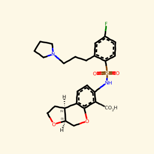 O=C(O)c1c(NS(=O)(=O)c2ccc(F)cc2CCCN2CCCC2)ccc2c1OC[C@H]1OCC[C@@H]21